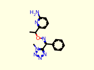 CC(O/N=C(/c1ccccc1)c1nnnn1C)c1cccc(N)n1